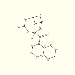 CC1CC2CC(=CC(C)(C(=O)N3CCCC4CCCCC43)C1)C2